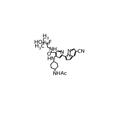 CC(=O)NC1CCC(Nc2cc(-c3ccc4cc(C#N)cnn34)ncc2C(=O)NC[C@@H](F)C(C)(C)O)CC1